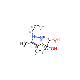 Cc1c(Cl)c(C(C)(O)CO)nn1CC(=O)O